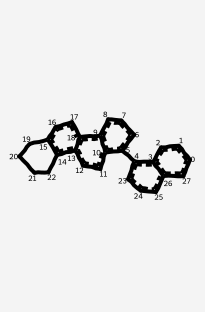 c1ccc2c(-c3cccc4c3ccc3c5c(ccc34)CCCC5)cccc2c1